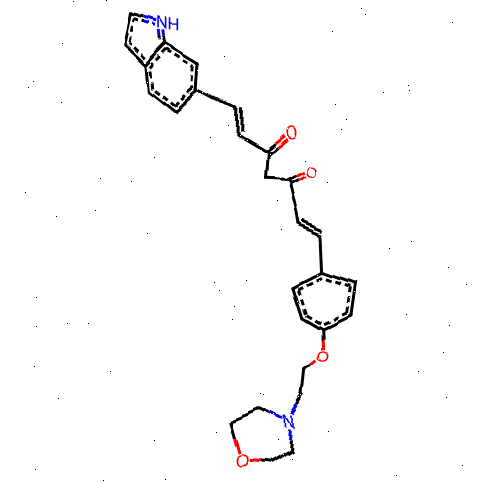 O=C(C=Cc1ccc(OCCN2CCOCC2)cc1)CC(=O)C=Cc1ccc2cc[nH]c2c1